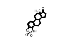 CC12CCC3c4ccc5c(c4CCC3C1CCC2=O)NS(=O)(=O)O5